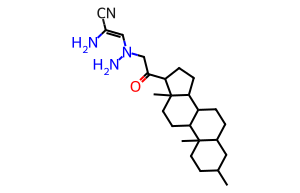 CC1CCC2(C)C(CCC3C2CCC2(C)C(C(=O)CN(N)/C=C(\N)C#N)CCC32)C1